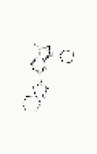 Cc1nn(C2CCCC2)c2cc(C3=NOC4(CCCCC4)C3)ccc12